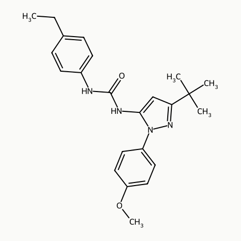 CCc1ccc(NC(=O)Nc2cc(C(C)(C)C)nn2-c2ccc(OC)cc2)cc1